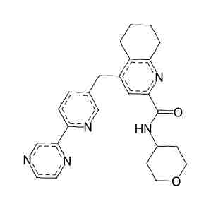 O=C(NC1CCOCC1)c1cc(Cc2ccc(-c3cnccn3)nc2)c2c(n1)CCCC2